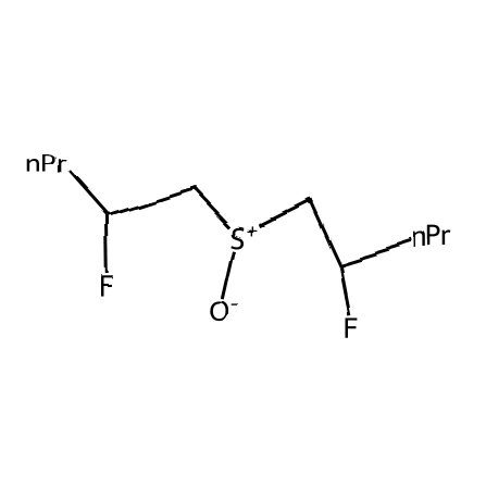 CCCC(F)C[S+]([O-])CC(F)CCC